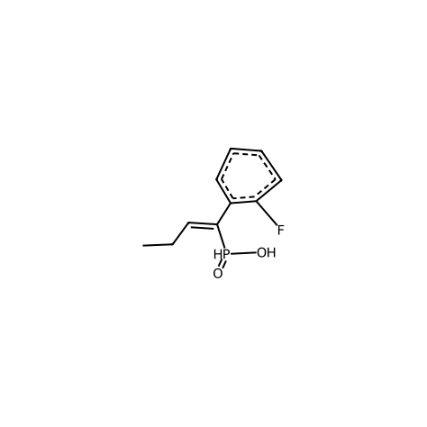 CCC=C(c1ccccc1F)[PH](=O)O